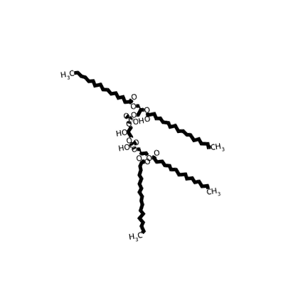 CCCCCCCCCCCCCCCCCC(=O)O[C@H](COC(=O)CCCCCCCCCCCCCCC)COP(=O)(O)OCC(O)COP(=O)(O)OC[C@@H](COC(=O)CCCCCCCCCCCCCCC)OC(=O)CCCCCCCCCCCCCCCCC